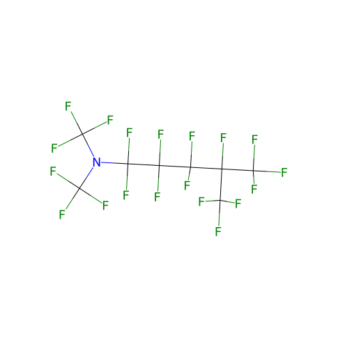 FC(F)(F)N(C(F)(F)F)C(F)(F)C(F)(F)C(F)(F)C(F)(C(F)(F)F)C(F)(F)F